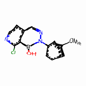 COc1cccc(N2N=Cc3ccnc(Cl)c3B2O)c1